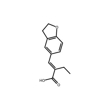 CC/C(=C\c1ccc2c(c1)CCO2)C(=O)O